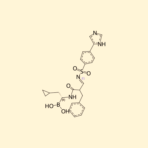 O=C(N[C@@H](CC1CC1)B(O)O)C(/C=N/S(=O)(=O)c1ccc(-c2cnc[nH]2)cc1)Cc1ccccc1